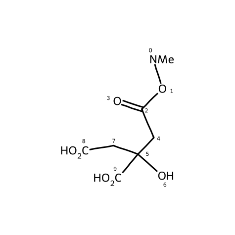 CNOC(=O)CC(O)(CC(=O)O)C(=O)O